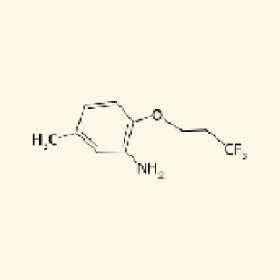 Cc1ccc(OCCC(F)(F)F)c(N)c1